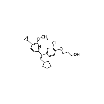 COc1nc(/C(=C/C2CCCC2)c2ccc(OCCCO)c(Cl)c2)ccc1C1CC1